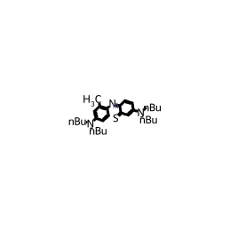 CCCCN(CCCC)C1=CC(=S)/C(=N\c2ccc(N(CCCC)CCCC)cc2C)C=C1